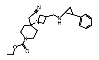 CCOC(=O)N1CCC(CC#N)(N2CC(CNC3CC3c3ccccc3)C2)CC1